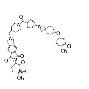 N#Cc1ccc(OC2CCC3(CC2)CN(c2ccc(C(=O)N4CCC(CN5Cc6cc7c(cc6C5)C(=O)N(C5CCC(O)NC5=O)C7=O)CC4)cc2)C3)cc1Cl